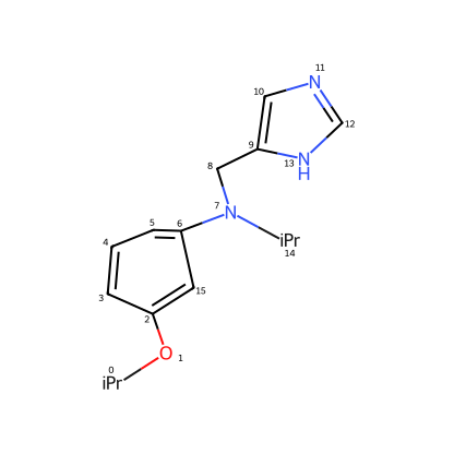 CC(C)Oc1cccc(N(Cc2cnc[nH]2)C(C)C)c1